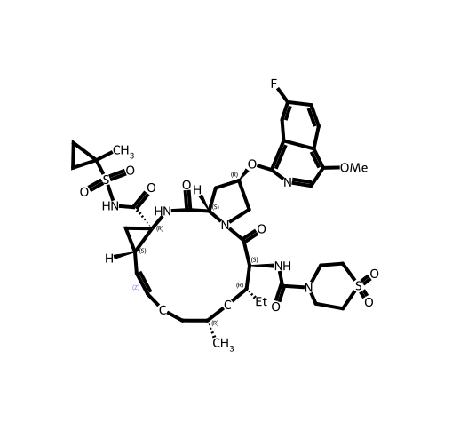 CC[C@@H]1C[C@H](C)CC/C=C\[C@@H]2C[C@@]2(C(=O)NS(=O)(=O)C2(C)CC2)NC(=O)[C@@H]2C[C@@H](Oc3ncc(OC)c4ccc(F)cc34)CN2C(=O)[C@H]1NC(=O)N1CCS(=O)(=O)CC1